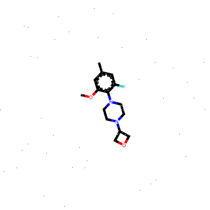 COc1cc(C)cc(F)c1N1CCN(C2COC2)CC1